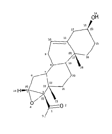 CC(=O)[C@@]12O[C@@H]1CC1C3CC=C4C[C@@H](O)CC[C@]4(C)C3CC[C@@]12C